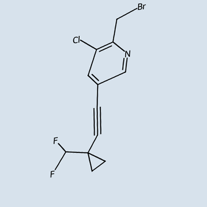 FC(F)C1(C#Cc2cnc(CBr)c(Cl)c2)CC1